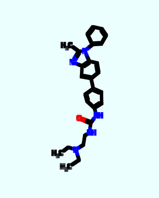 CCN(CC)CCNC(=O)Nc1ccc(-c2ccc3c(c2)nc(C)n3-c2ccccc2)cc1